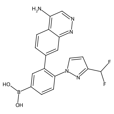 Nc1cnnc2cc(-c3cc(B(O)O)ccc3-n3ccc(C(F)F)n3)ccc12